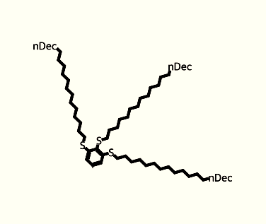 CCCCCCCCCCCCCCCCCCCCCCCSc1c[c]cc(SCCCCCCCCCCCCCCCCCCCCCCC)c1SCCCCCCCCCCCCCCCCCCCCCCC